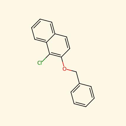 Clc1c(OCc2ccccc2)ccc2ccccc12